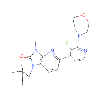 Cn1c(=O)n(CC(C)(C)C)c2ccc(-c3ccnc(N4CCOCC4)c3F)nc21